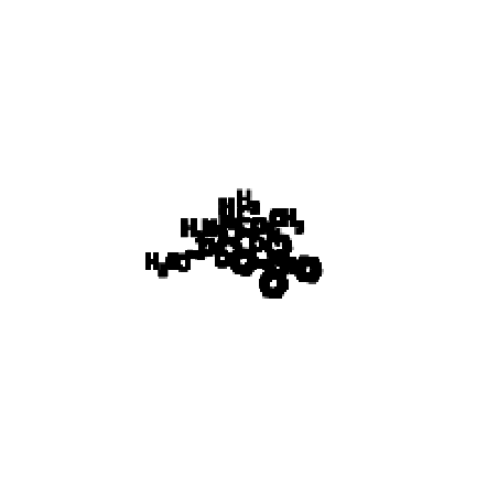 C#Cc1cccc(C2C(C(=O)OC(C)N3CCN(C(c4ccccc4)c4ccccc4)CC3)=C(C)NC(N)=C2C(=O)OCCOC)c1